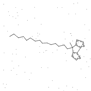 CCCCCCCCCCCCCCCC1(C)c2ccsc2-c2sccc21